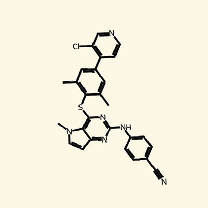 Cc1cc(-c2ccncc2Cl)cc(C)c1Sc1nc(Nc2ccc(C#N)cc2)nc2ccn(C)c12